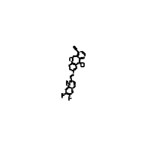 C#Cc1cccc2c1COc1ccc(/C=C/c3ccc4cc(F)c(F)cc4n3)cc1C2=O